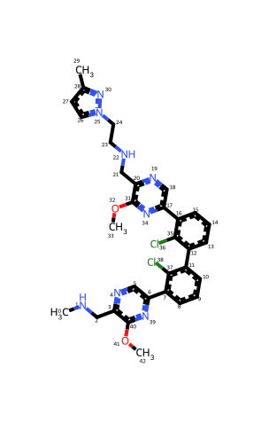 CNCc1ncc(-c2cccc(-c3cccc(-c4cnc(CNCCn5ccc(C)n5)c(OC)n4)c3Cl)c2Cl)nc1OC